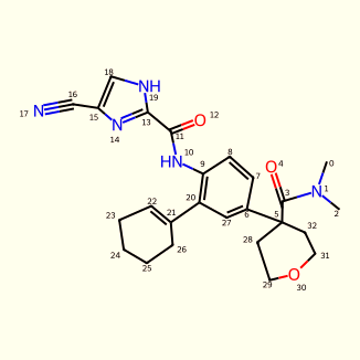 CN(C)C(=O)C1(c2ccc(NC(=O)c3nc(C#N)c[nH]3)c(C3=CCCCC3)c2)CCOCC1